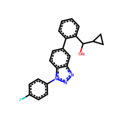 OC(c1ccccc1-c1ccc2c(c1)nnn2-c1ccc(F)cc1)C1CC1